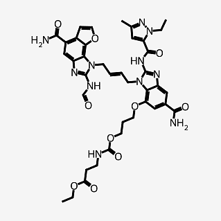 CCOC(=O)CCNC(=O)OCCCOc1cc(C(N)=O)cc2nc(NC(=O)c3cc(C)nn3CC)n(C/C=C/Cn3c(NC=O)nc4cc(C(N)=O)c5ccoc5c43)c12